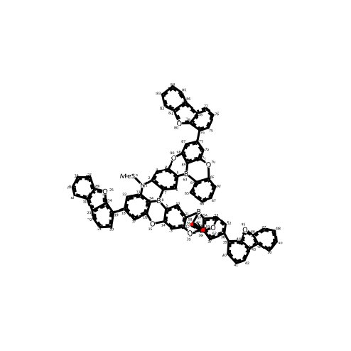 CSN1c2cc3c(cc2B2c4cc5c(cc4Oc4cc(-c6cccc7c6oc6ccccc67)cc1c42)Oc1cc(-c2cccc4c2oc2ccccc24)cc2c1B5c1ccccc1O2)B1c2ccccc2Oc2cc(-c4cccc5c4oc4ccccc45)cc(c21)O3